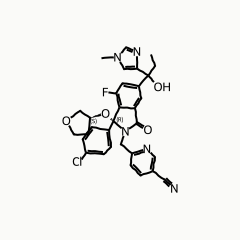 CCC(O)(c1cc(F)c2c(c1)C(=O)N(Cc1ccc(C#N)cn1)[C@@]2(O[C@H]1CCOC1)c1ccc(Cl)cc1)c1cn(C)cn1